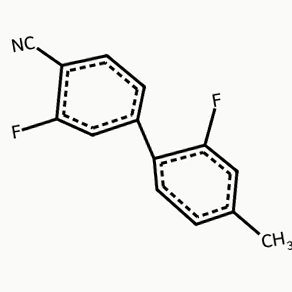 Cc1ccc(-c2ccc(C#N)c(F)c2)c(F)c1